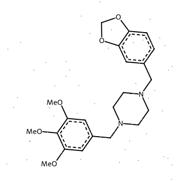 COc1cc(CN2CCN(Cc3ccc4c(c3)OCO4)CC2)cc(OC)c1OC